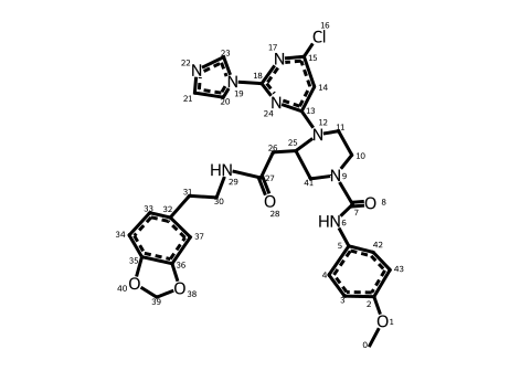 COc1ccc(NC(=O)N2CCN(c3cc(Cl)nc(-n4ccnc4)n3)C(CC(=O)NCCc3ccc4c(c3)OCO4)C2)cc1